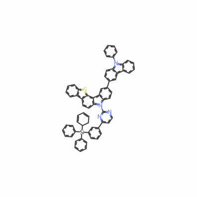 C1=CCC([Si](c2ccccc2)(c2ccccc2)c2cccc(-c3ccnc(-n4c5ccc(-c6ccc7c(c6)c6ccccc6n7-c6ccccc6)cc5c5c6sc7ccccc7c6ccc54)n3)c2)C=C1